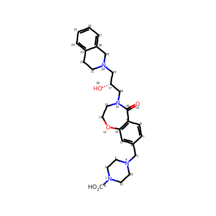 O=C(O)N1CCN(Cc2ccc3c(c2)OCCN(C[C@H](O)CN2CCc4ccccc4C2)C3=O)CC1